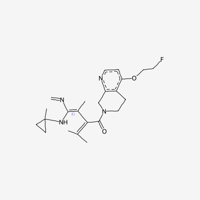 C=N/C(NC1(C)CC1)=C(\C)C(C(=O)N1CCc2c(OCCF)ccnc2C1)=C(C)C